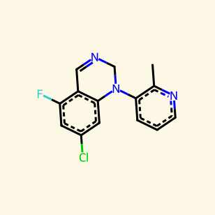 Cc1ncccc1N1CN=Cc2c(F)cc(Cl)cc21